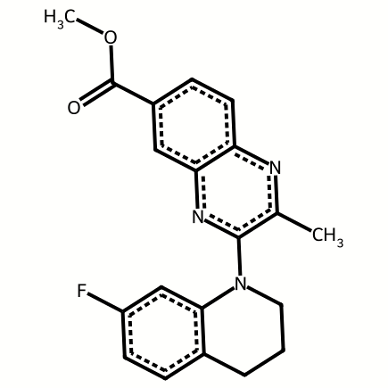 COC(=O)c1ccc2nc(C)c(N3CCCc4ccc(F)cc43)nc2c1